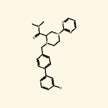 CN(C)C(=O)C1CN(c2ncccn2)CCN1Cc1ccc(-c2cccc(Cl)c2)cc1